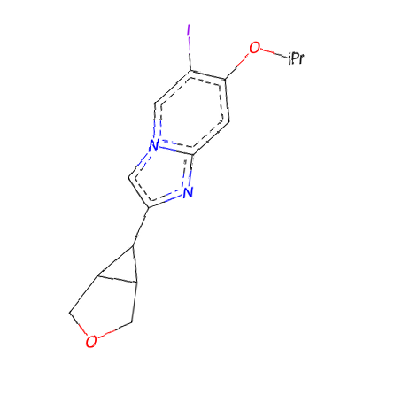 CC(C)Oc1cc2nc(C3C4COCC43)cn2cc1I